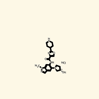 Cl.Cn1ncc2cc(N3CC[C@H](O)C3)c(NC(=O)c3coc(C4CCNCC4)n3)cc21